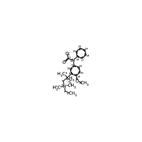 CC[N+](C)(C)CC(C)(C)c1cc(N(C(=O)[O-])c2ccccc2)ccc1OC